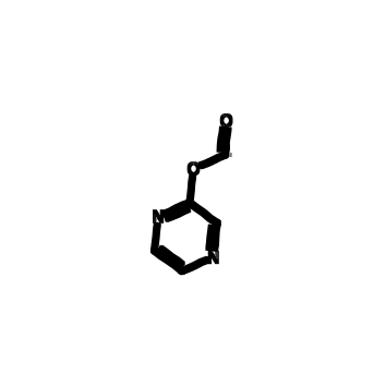 O=[C]Oc1cnccn1